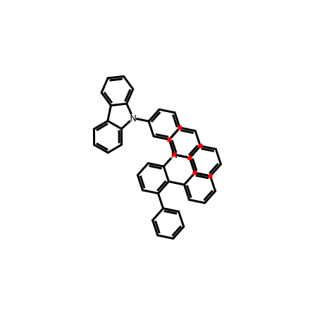 c1ccc(-c2ccccc2-c2c(-c3ccccc3)cccc2N(c2ccccc2)c2cccc(-n3c4ccccc4c4ccccc43)c2)cc1